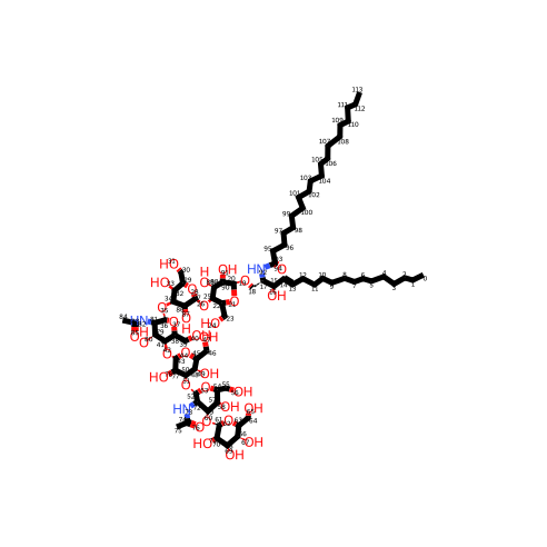 CCCCCCCCCCCCC/C=C/[C@@H](O)[C@H](CO[C@@H]1OC(CO)[C@@H](O[C@@H]2OC(CO)[C@H](O)[C@H](O[C@@H]3OC(CO)[C@@H](O[C@@H]4OC(CO)[C@H](O)[C@H](O[C@@H]5OC(CO)[C@@H](O)[C@H](O[C@@H]6OC(CO)[C@H](O)[C@H](O)C6O)C5NC(C)=O)C4O)[C@H](O)C3NC(C)=O)C2O)[C@H](O)C1O)NC(=O)CCCCCCCCCCCCCCCCCCC